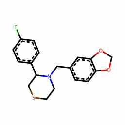 Fc1ccc(C2CSCCN2Cc2ccc3c(c2)OCO3)cc1